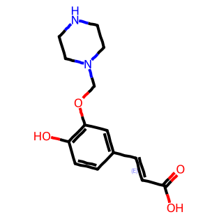 O=C(O)/C=C/c1ccc(O)c(OCN2CCNCC2)c1